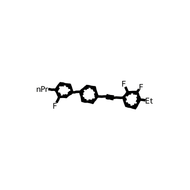 CCCc1ccc(-c2ccc(C#Cc3ccc(CC)c(F)c3F)cc2)cc1F